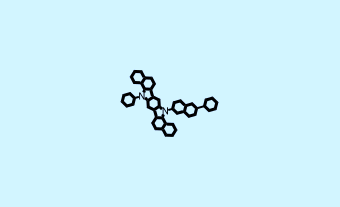 c1ccc(-c2ccc3cc(-n4c5cc6c7ccc8ccccc8c7n(-c7ccccc7)c6cc5c5ccc6ccccc6c54)ccc3c2)cc1